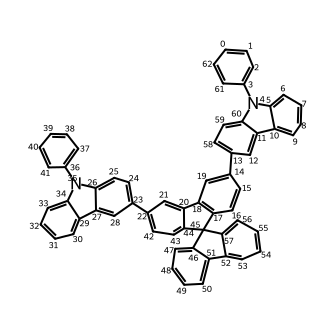 c1ccc(-n2c3ccccc3c3cc(-c4ccc5c(c4)-c4cc(-c6ccc7c(c6)c6ccccc6n7-c6ccccc6)ccc4C54c5ccccc5-c5ccccc54)ccc32)cc1